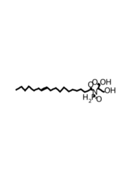 CCCCCCC=CCCCCCCCCCC(=O)N([PH2]=O)C(CO)C(=O)O